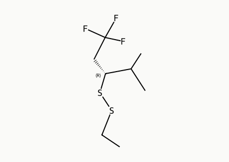 CCSS[C@H](CC(F)(F)F)C(C)C